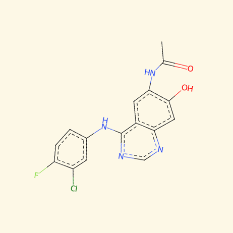 CC(=O)Nc1cc2c(Nc3ccc(F)c(Cl)c3)ncnc2cc1O